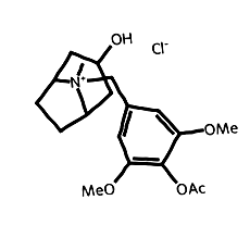 COc1cc(C[N+]2(C)C3CCC2CC(O)C3)cc(OC)c1OC(C)=O.[Cl-]